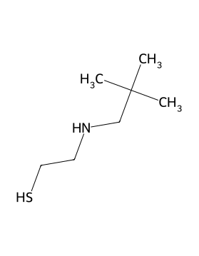 CC(C)(C)CNCCS